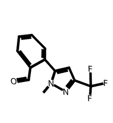 Cn1nc(C(F)(F)F)cc1-c1ccccc1C=O